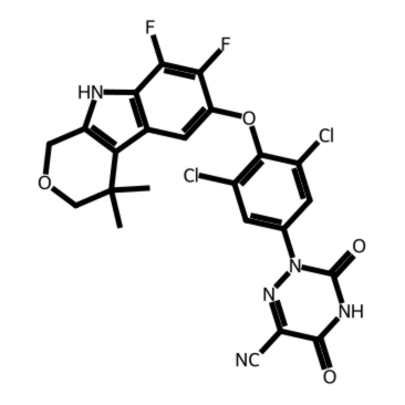 CC1(C)COCc2[nH]c3c(F)c(F)c(Oc4c(Cl)cc(-n5nc(C#N)c(=O)[nH]c5=O)cc4Cl)cc3c21